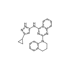 c1ccc2c(c1)CCCN2c1nc(Nc2cc(C3CC3)n[nH]2)c2ccccc2n1